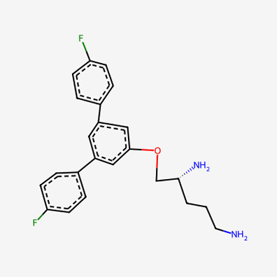 NCCC[C@@H](N)COc1cc(-c2ccc(F)cc2)cc(-c2ccc(F)cc2)c1